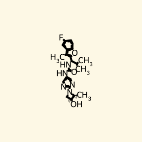 Cc1c(C(NC(=O)Nc2cnc(N3C[C@@H](O)[C@@H]3C)nc2)C(C)C)oc2ccc(F)cc12